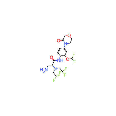 NC[C@H](C(=O)Nc1ccc(N2CCOCC2=O)cc1OC(F)F)N(CC(F)F)CC(F)(F)F